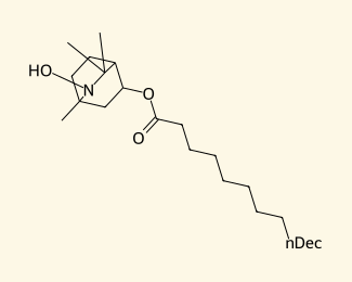 CCCCCCCCCCCCCCCCCC(=O)OC1CC2(C)CCC1C(C)(C)N2O